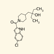 CCC(O)(CC)CC1CCN(C(=O)c2cc3cc(Cl)ccc3[nH]2)CC1